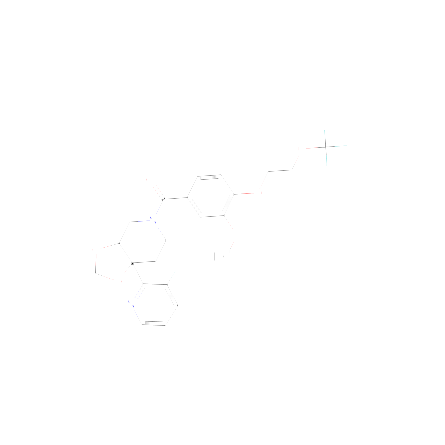 COc1cc(C(=O)N2CCC3(c4ncccc4F)OCOC3C2)ccc1OCCOC(F)(F)F